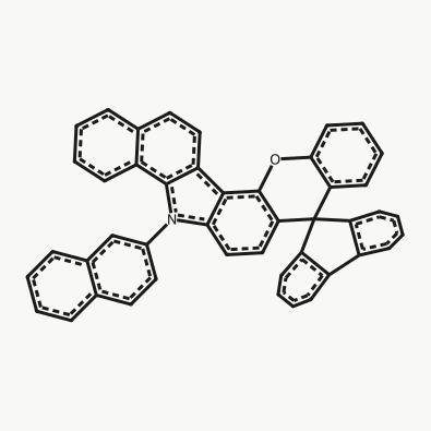 c1ccc2c(c1)Oc1c(ccc3c1c1ccc4ccccc4c1n3-c1ccc3ccccc3c1)C21c2ccccc2-c2ccccc21